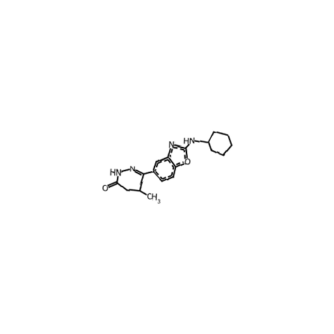 CC1CC(=O)NN=C1c1ccc2oc(NC3CCCCC3)nc2c1